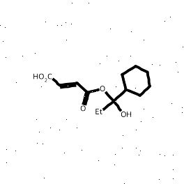 CCC(O)(OC(=O)C=CC(=O)O)C1CCCCC1